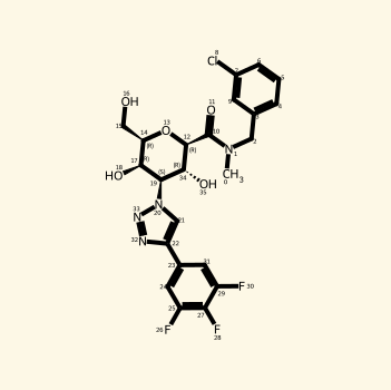 CN(Cc1cccc(Cl)c1)C(=O)[C@@H]1O[C@H](CO)[C@H](O)[C@H](n2cc(-c3cc(F)c(F)c(F)c3)nn2)[C@H]1O